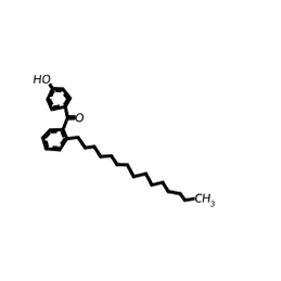 CCCCCCCCCCCCCCCc1ccccc1C(=O)c1ccc(O)cc1